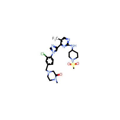 CN1CCN(Cc2ccc(-n3cnc(-c4nc(NC5CCN(S(C)(=O)=O)CC5)ncc4C(F)(F)F)c3)c(Cl)c2)CC1=O